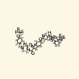 Cn1c(C(=O)N2CCN(Cc3ccc(OCC(F)(F)F)cc3)CC2)cc2ccc(Oc3ccc(NS(=O)(=O)c4ccccc4OC(F)(F)F)cn3)cc21